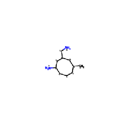 CC1CCCC(N)CC(CN)C1